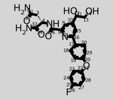 NC(=O)C[C@H](NC(=O)c1cc([C@@H](O)CO)cc(-c2ccc(Oc3ccc(F)cc3)cc2)n1)C(N)=O